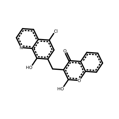 O=c1c(Cc2cc(Cl)c3cccnc3c2O)c(O)oc2ccccc12